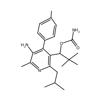 Cc1ccc(-c2c(N)c(C)nc(CC(C)C)c2C(OC(N)=O)C(C)(C)C)cc1